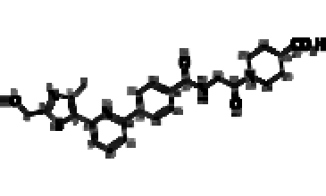 Cc1nc(CO)sc1-c1cccc(-c2ccc(C(=O)NCC(=O)N3CCC(C(=O)O)CC3)cc2)n1